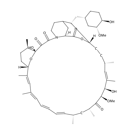 CO[C@@H]1C[C@H](C[C@H]2C3CCN4C(=O)C(=O)[C@]5(O)O[C@@H](CC[C@H]5C)/C(C)=C/C(C)=C/C=C/C=C/[C@@H](C)C[C@@H](C)C(=O)[C@H](OC)[C@H](O)/C(C)=C/[C@@H](C)CC[C@@H]2OC(=O)[C@@H]4C3)CC[C@H]1O